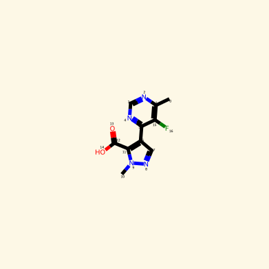 Cc1ncnc(-c2cnn(C)c2C(=O)O)c1F